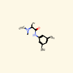 CC(C)C(C(=O)Nc1cc(C(C)(C)C)cc(C(C)(C)C)c1)N(C)C=O